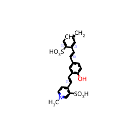 C=C/C=C(/C=C/c1ccc(O)c(/C=C/c2cc[n+](C)cc2S(=O)(=O)O)c1)C(=C/C)\S(=O)(=O)O